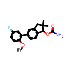 CC(C)Oc1ccc(F)cc1-c1ccc2c(c1)CC(C)(C)C2OC(N)=O